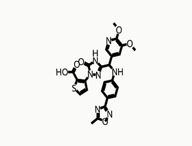 COc1cc(C(Nc2ccc(-c3noc(C)n3)cc2)c2nn(-c3ccsc3C(=O)O)c(=O)[nH]2)cnc1OC